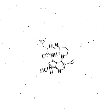 COCCC(=O)Nc1c[nH]c2ncc(C3CC3)c(N3CCCC(N)C3)c12.Cl